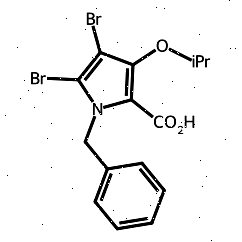 CC(C)Oc1c(Br)c(Br)n(Cc2ccccc2)c1C(=O)O